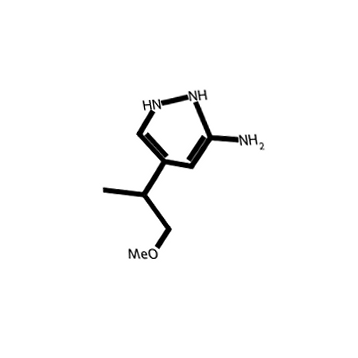 COCC(C)C1=CNNC(N)=C1